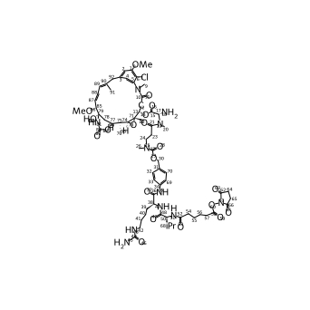 COc1cc2cc(c1Cl)N(C)C(=O)C[C@H](OC(=O)[C@H](N)N(C)C(=O)CCN(C)C(=O)OCc1ccc(NC(=O)[C@H](CCCCNC(N)=O)NC(=O)[C@@H](NC(=O)CCCCC(=O)ON3C(=O)CCC3=O)C(C)C)cc1)[C@]1(C)O[C@H]1[C@H](C)[C@@H]1C[C@@](O)(NC(=O)O1)[C@H](OC)/C=C/C=C(\C)C2